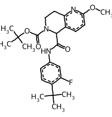 COc1ccc2c(n1)CCN(C(=O)OC(C)(C)C)C2C(=O)Nc1ccc(C(C)(C)C)c(F)c1